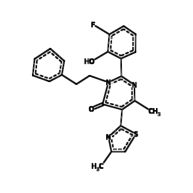 Cc1csc(-c2c(C)nc(-c3cccc(F)c3O)n(CCc3ccccc3)c2=O)n1